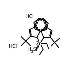 C[CH2][Zr](=[SiH2])([CH2]C)([CH]1C(C(C)(C)C)=Cc2ccccc21)[CH]1C(C(C)(C)C)=Cc2ccccc21.Cl.Cl